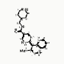 C/N=C(NC)\C(=C1\N=CC(C(=O)NCC2CCNCC2)=CN1)c1ccccn1